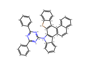 c1ccc(-c2nc(-c3ccccc3)nc(-n3c4ccccc4c4c5ccc6ccccc6c5c5c6ccccc6sc5c43)n2)cc1